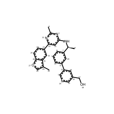 Cc1nc(N[C@@H](C)c2cccc(-c3cncc(CO)c3)c2)cc(-c2ccc3occ(C)c3c2)n1